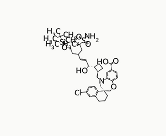 CC(CC(/C=C/C(O)[C@@H]1CC[C@H]1CN1C[C@@]2(CCCc3cc(Cl)ccc32)COc2ccc(C(=O)O)cc21)CCO[Si](C)(C)C(C)(C)C)S(N)(=O)=O